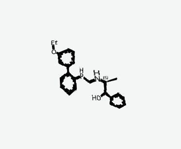 CCOc1cccc(-c2ccccc2PCN[C@@H](C)C(O)c2ccccc2)c1